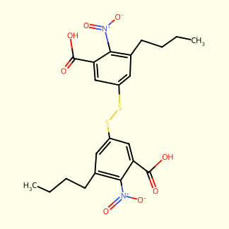 CCCCc1cc(SSc2cc(CCCC)c([N+](=O)[O-])c(C(=O)O)c2)cc(C(=O)O)c1[N+](=O)[O-]